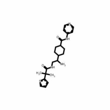 CC(C)(C(=O)NCC(N)C1CCC(C(=O)Nc2ccncc2)CC1)c1cccs1